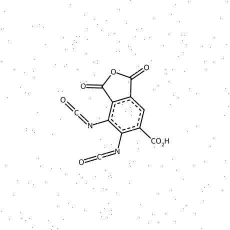 O=C=Nc1c(C(=O)O)cc2c(c1N=C=O)C(=O)OC2=O